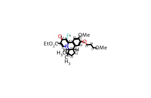 CCOC(=O)c1cn2c(c(F)c1=O)-c1cc(OC)c(OCCCOC)cc1[C@@H]1CCC(C)(C)[C@@H]12